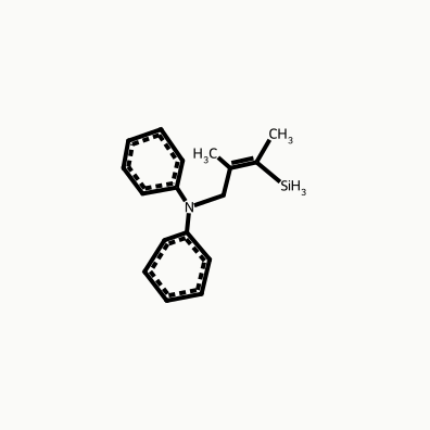 CC([SiH3])=C(C)CN(c1ccccc1)c1ccccc1